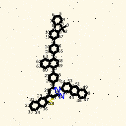 CC1(C)c2ccccc2-c2ccc(-c3ccc(-c4ccc(-c5ccc(-c6cc7c8cc9ccccc9cc8sc7c7nc8c9cc%10ccccc%10cc9ccc8n67)cc5)c5ccccc45)cc3)cc21